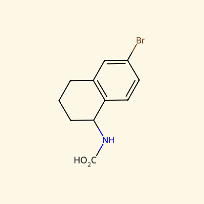 O=C(O)NC1CCCc2cc(Br)ccc21